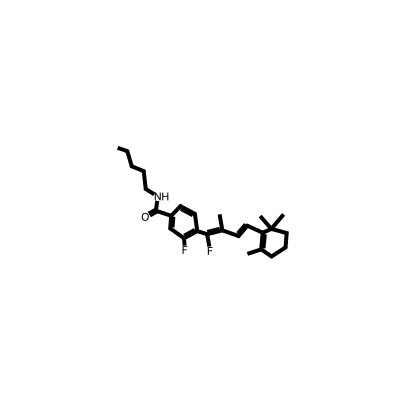 CCCCCNC(=O)c1ccc(/C(F)=C(C)/C=C/C2=C(C)CCCC2(C)C)c(F)c1